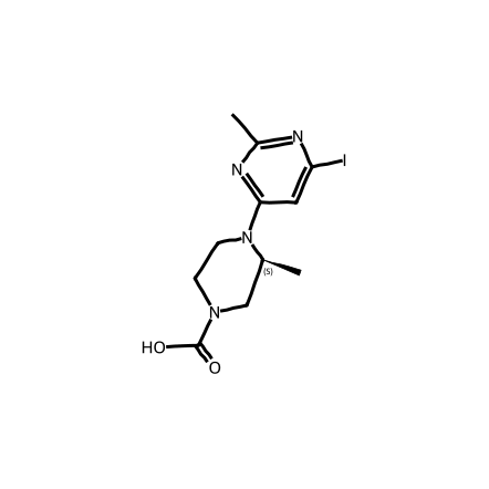 Cc1nc(I)cc(N2CCN(C(=O)O)C[C@@H]2C)n1